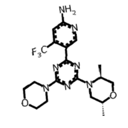 C[C@@H]1CN(c2nc(-c3cnc(N)cc3C(F)(F)F)nc(N3CCOCC3)n2)[C@@H](C)CO1